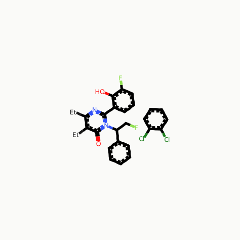 CCc1nc(-c2cccc(F)c2O)n(C(CF)c2ccccc2)c(=O)c1CC.Clc1ccccc1Cl